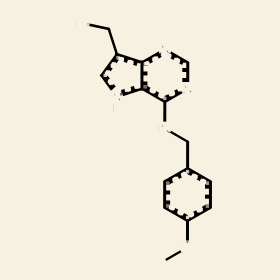 COc1ccc(CNc2ncnc3c(CO)c[nH]c23)cc1